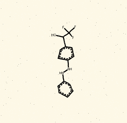 OC(c1ccc(NNc2ccccc2)cc1)C(F)(F)F